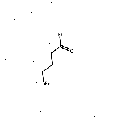 CC[CH]CCCC(=O)CC